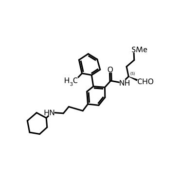 CSCC[C@@H](C=O)NC(=O)c1ccc(CCCNC2CCCCC2)cc1-c1ccccc1C